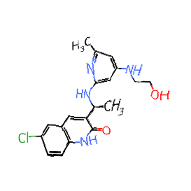 Cc1cc(NCCO)cc(N[C@@H](C)c2cc3cc(Cl)ccc3[nH]c2=O)n1